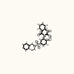 CCN(Cc1ccccc1)S(=O)(=O)c1ccc(Cl)c(-n2c(=O)[nH]c3ccccc3c2=O)c1